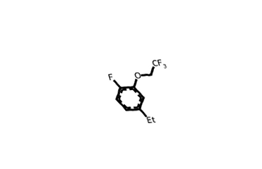 CCc1ccc(F)c(OCC(F)(F)F)c1